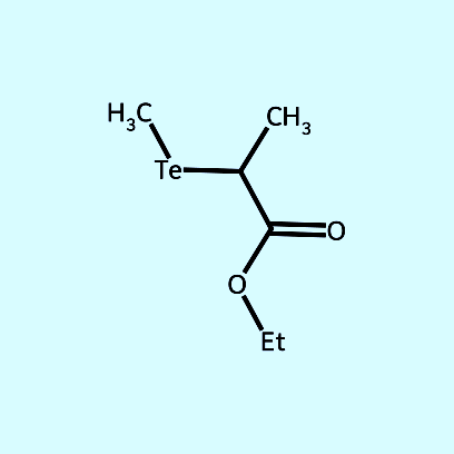 CCOC(=O)C(C)[Te]C